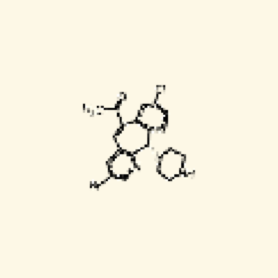 CC(=O)C1=Cc2cc(Br)cnc2[C@@H](N2CCNCC2)c2ccc(Cl)cc21